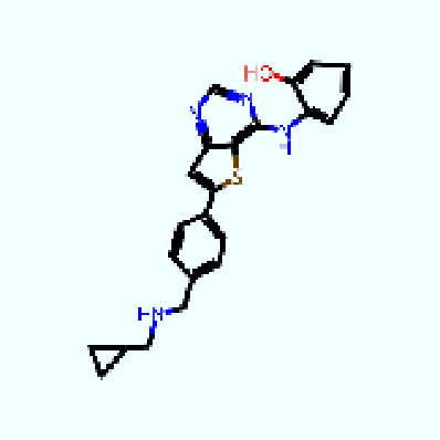 Oc1ccccc1Nc1ncnc2cc(-c3ccc(CNCC4CC4)cc3)sc12